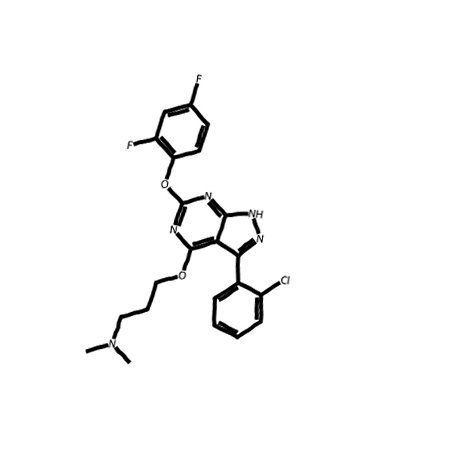 CN(C)CCCOc1nc(Oc2ccc(F)cc2F)nc2[nH]nc(-c3ccccc3Cl)c12